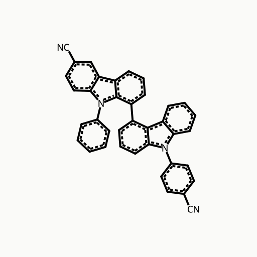 N#Cc1ccc(-n2c3ccccc3c3c(-c4cccc5c6cc(C#N)ccc6n(-c6ccccc6)c45)cccc32)cc1